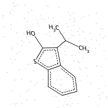 CC(C)c1c(O)sc2ccccc12